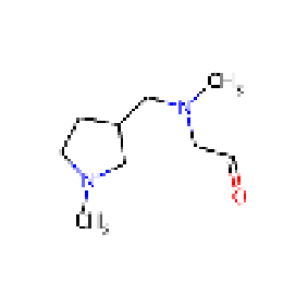 CN(CC=O)CC1CCN(C)C1